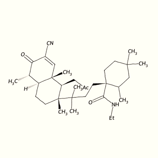 CCNC(=O)[C@]1(CCC(C)(C)[C@]2(C)CC[C@H]3[C@H](C)C(=O)C(C#N)=C[C@]3(C)[C@H]2CC(C)=O)CCC(C)(C)CC1C